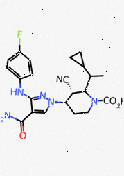 CC(C1CC1)C1[C@@H](C#N)[C@H](n2cc(C(N)=O)c(Nc3ccc(F)cc3)n2)CCN1C(=O)O